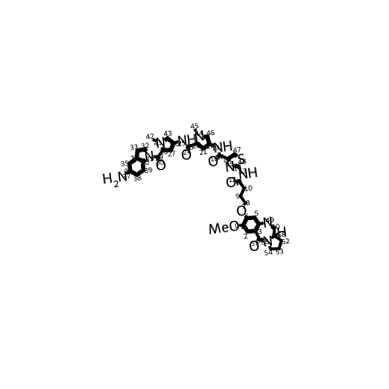 COc1cc2c(cc1OCCCC(=O)Nc1nc(C(=O)Nc3cc(C(=O)Nc4cc(C(=O)n5ccc6cc(N)ccc65)n(C)c4)n(C)c3)cs1)N=C[C@@H]1CCCN1C2=O